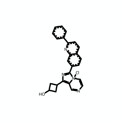 OC1CC(C2=C3C=NC=C[N+]3(Cl)C(c3ccc4ccc(-c5ccccc5)nc4c3)=N2)C1